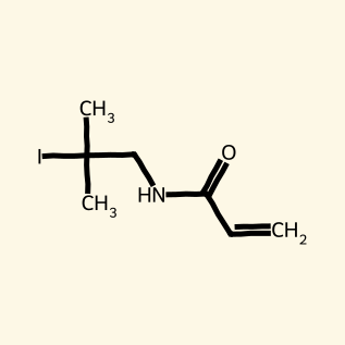 C=CC(=O)NCC(C)(C)I